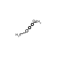 C=CC(=O)c1ccc(-c2ccc(C3CCC(CCCCC)CC3)cc2)cc1